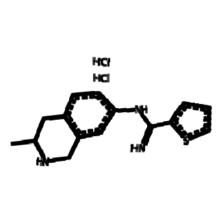 CC1Cc2ccc(NC(=N)c3cccs3)cc2CN1.Cl.Cl